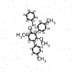 COc1c(-c2ccc(C)cc2)[c]c(C)c(OCc2ccccc2)c1-c1ccc(C)cc1